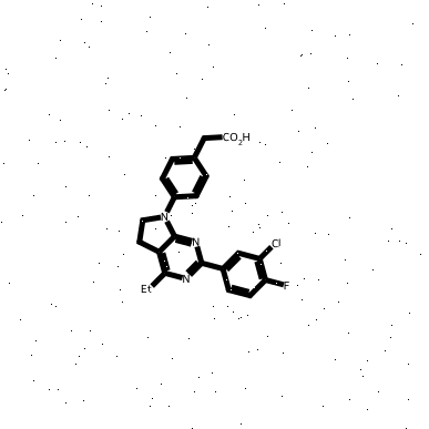 CCc1nc(-c2ccc(F)c(Cl)c2)nc2c1CCN2c1ccc(CC(=O)O)cc1